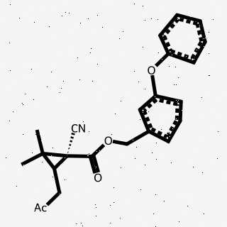 CC(=O)CC1C(C)(C)[C@@]1(C#N)C(=O)OCc1cccc(Oc2ccccc2)c1